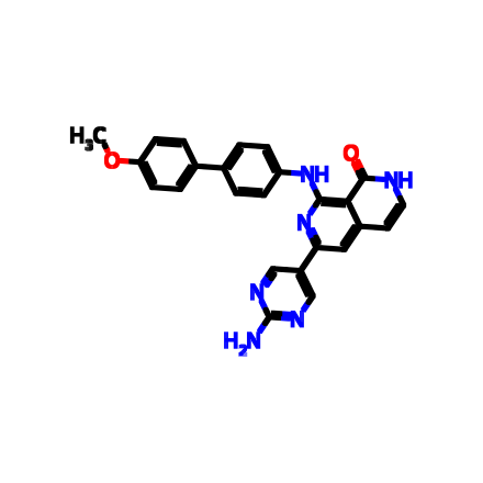 COc1ccc(-c2ccc(Nc3nc(-c4cnc(N)nc4)cc4cc[nH]c(=O)c34)cc2)cc1